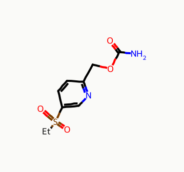 CCS(=O)(=O)c1ccc(COC(N)=O)nc1